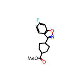 COC(=O)C1CCC(c2noc3cc(F)ccc23)CC1